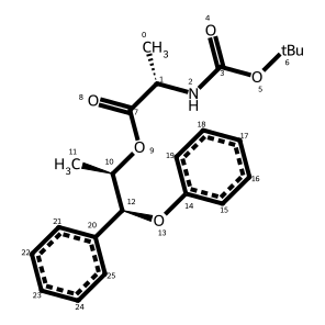 C[C@H](NC(=O)OC(C)(C)C)C(=O)O[C@H](C)[C@@H](Oc1ccccc1)c1ccccc1